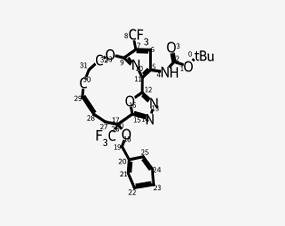 CC(C)(C)OC(=O)Nc1cc(C(F)(F)F)c2nc1-c1nnc(o1)[C@@](OCc1ccccc1)(C(F)(F)F)CC=CCCCO2